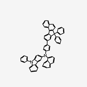 c1ccc(-n2c3ccccc3c3cc(N(c4ccc(-c5ccc6c(c5)C(c5ccccc5)(c5ccccc5)c5ccc7ccccc7c5-6)cc4)c4cccc5ccccc45)ccc32)cc1